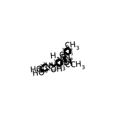 Cc1ccc(N(CC(C)C)S(=O)(=O)c2ccc(C(O)CN3CCS(O)(O)CC3)cc2)c(C)c1